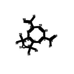 C=C(C)C1=CC2=C(C=C(C(=C)C)C=C1)C(C)(C)OC2(C)C